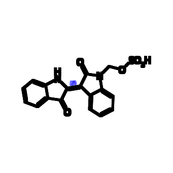 O=C1/C(=C2/C(=O)N(COS(=O)(=O)O)c3ccccc32)Nc2ccccc21